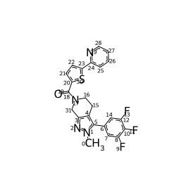 Cn1nc2c(c1-c1cc(F)c(F)c(F)c1)CCN(C(=O)c1ccc(-c3ccccn3)s1)C2